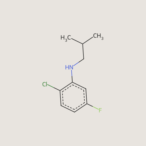 CC(C)CNc1cc(F)ccc1Cl